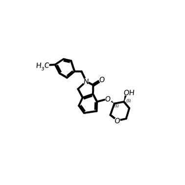 Cc1ccc(CN2Cc3cccc(O[C@H]4COCC[C@@H]4O)c3C2=O)cc1